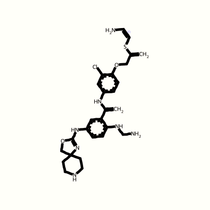 C=C(COc1ccc(NC(=C)c2cc(NC3=NC4(CCNCC4)CO3)ccc2NCN)cc1Cl)S/C=C\N